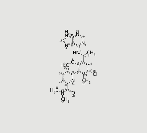 COc1c(C(C)Nc2ncnc3[nH]cnc23)cc(Cl)c(C)c1-c1cccc(C(=O)N(C)C)n1